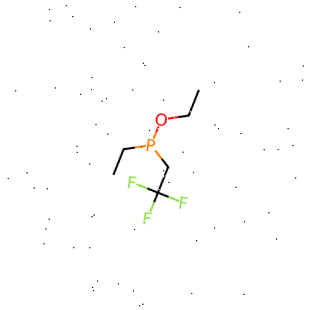 CCOP(CC)CC(F)(F)F